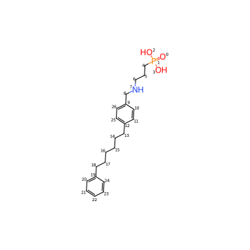 O=P(O)(O)CCCNCc1ccc(CCCCCCc2ccccc2)cc1